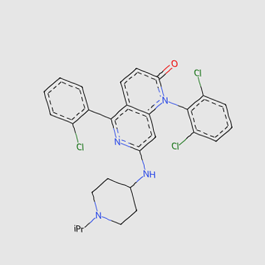 CC(C)N1CCC(Nc2cc3c(ccc(=O)n3-c3c(Cl)cccc3Cl)c(-c3ccccc3Cl)n2)CC1